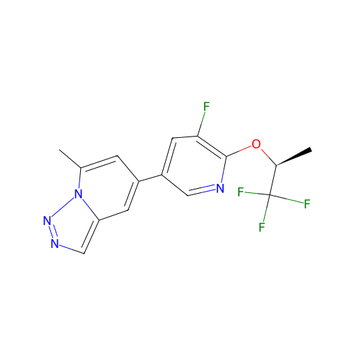 Cc1cc(-c2cnc(O[C@@H](C)C(F)(F)F)c(F)c2)cc2cnnn12